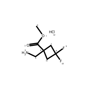 COC(=O)C1(CN)CC(F)(F)C1.Cl